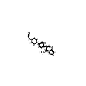 N#CC[C@H]1CC[C@H](c2ccc(-c3cnc4ccnn4c3N)cc2)CC1